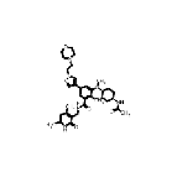 CC(=O)N[C@H]1CC[C@@H](N(C)c2cc(-c3cnn(CCN4CCOCC4)c3)cc(C(=O)NCc3c(C)cc(C)[nH]c3=O)c2C)CC1